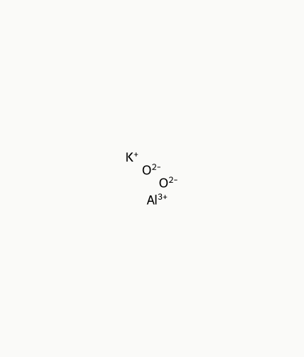 [Al+3].[K+].[O-2].[O-2]